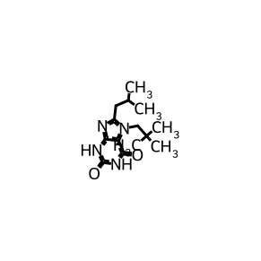 CC(C)Cc1nc2[nH]c(=O)[nH]c(=O)c2n1CC(C)(C)C